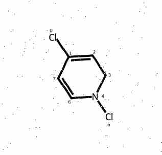 ClC1=CCN(Cl)C=C1